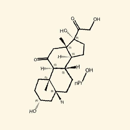 CCCO.C[C@]12CC[C@@H](O)C[C@H]1CC[C@@H]1[C@@H]2C(=O)C[C@@]2(C)[C@H]1CC[C@]2(O)C(=O)CO